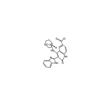 O=c1[nH]c2ccc([N+](=O)[O-])cc2c(N[C@@H]2CN3CCC2CC3)c1-c1nc2ccccc2[nH]1